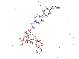 COc1ccc(N2CCN(CCO[C@H]3O[C@H]([C@H]4COC(C)(C)O4)[C@@H]4OC(C)(C)O[C@H]34)CC2)cc1